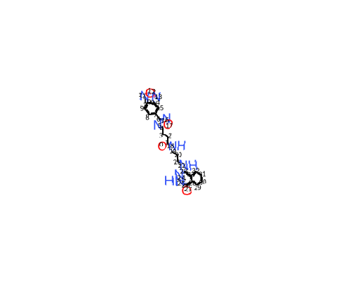 O=C(CCc1nc(-c2ccc3nonc3c2)no1)NCCCNc1n[nH]c(=O)c2ccccc12